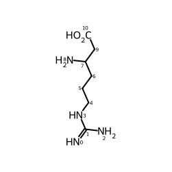 N=C(N)NCCCC(N)CC(=O)O